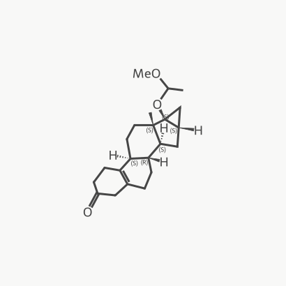 COC(C)O[C@@]12C[C@@H]1C[C@H]1[C@@H]3CCC4=C(CCC(=O)C4)[C@H]3CC[C@@]12C